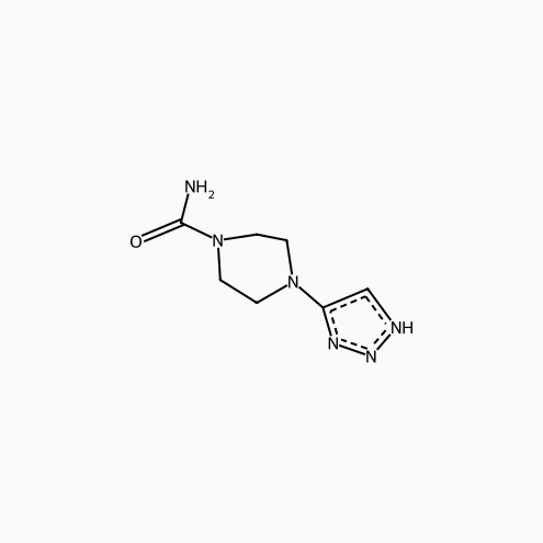 NC(=O)N1CCN(c2c[nH]nn2)CC1